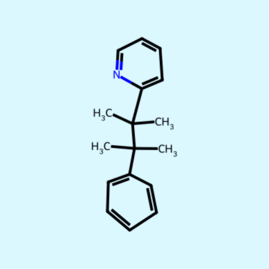 CC(C)(c1ccccc1)C(C)(C)c1ccccn1